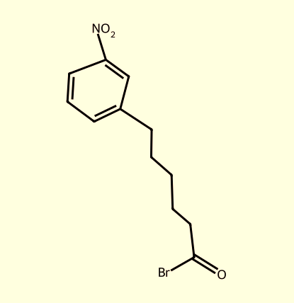 O=C(Br)CCCCCc1cccc([N+](=O)[O-])c1